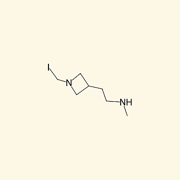 CNCCC1CN(CI)C1